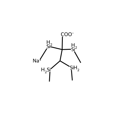 C[SiH2]C([SiH2]C)C([SiH2]C)([SiH2]C)C(=O)[O-].[Na+]